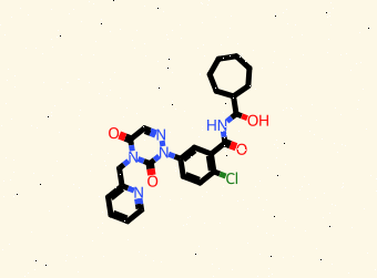 O=C(NC(O)C1CCCCCC1)c1cc(-n2ncc(=O)n(Cc3ccccn3)c2=O)ccc1Cl